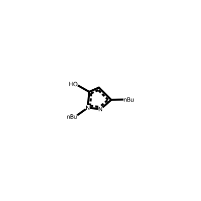 CCCCc1cc(O)n(CCCC)n1